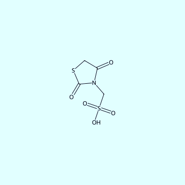 O=C1CSC(=O)N1CS(=O)(=O)O